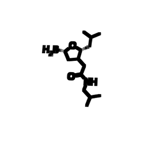 B[C@H]1CC(CC(=O)NCC(C)C)[C@@H](CC(C)C)O1